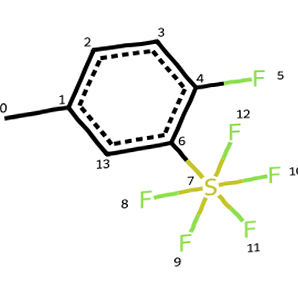 Cc1ccc(F)c(S(F)(F)(F)(F)F)c1